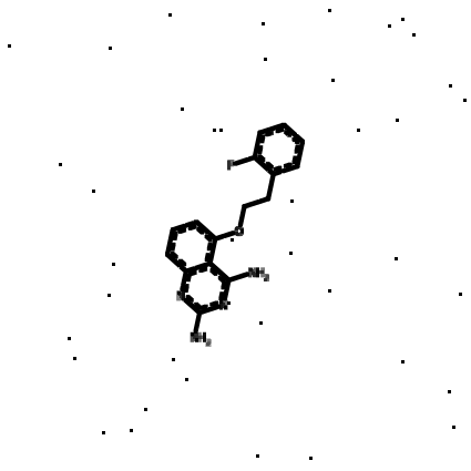 Nc1nc(N)c2c(OCCc3ccccc3F)cccc2n1